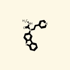 CNC(=O)N(CCc1ccncc1)c1ccc2sc3ccccc3c2c1